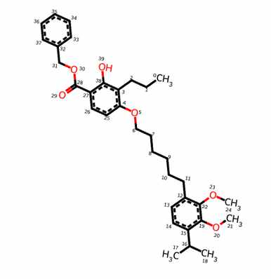 CCCc1c(OCCCCCCc2ccc(C(C)C)c(OC)c2OC)ccc(C(=O)OCc2ccccc2)c1O